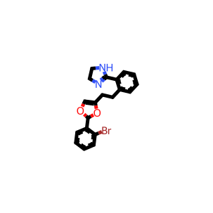 Brc1ccccc1C1OC=C(CCc2ccccc2C2=NCCN2)O1